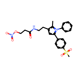 Cc1c(CCNC(=O)CCO[N+](=O)[O-])cc(-c2ccc(S(C)(=O)=O)cc2)n1-c1ccccc1